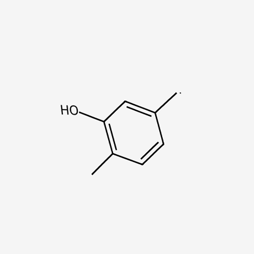 [CH2]c1ccc(C)c(O)c1